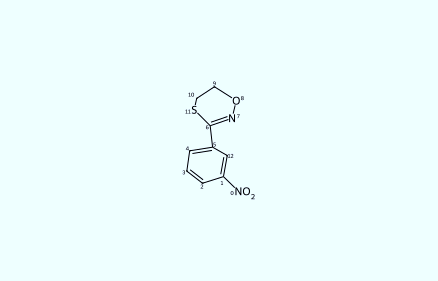 O=[N+]([O-])c1cccc(C2=NOCCS2)c1